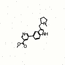 COC(=O)c1cncc(-c2ccc3[nH]cc(C[C@H]4CCCN4C)c3c2)c1